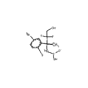 CC(C)(C)[S+]([O-])NC(C)(c1cc(Br)ccc1F)C(F)(F)CO